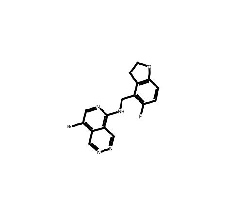 Fc1ccc2c(c1CNc1ncc(Br)c3cnncc13)CCO2